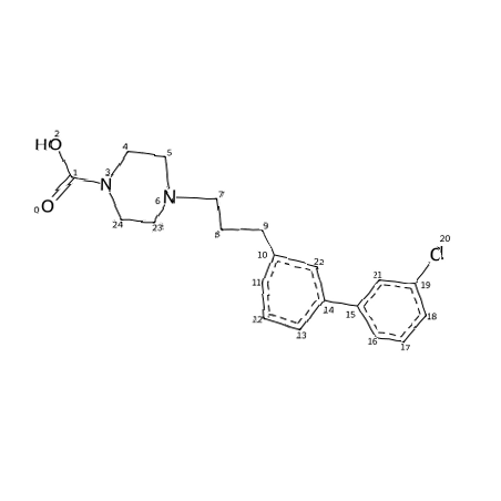 O=C(O)N1CCN(CCCc2cccc(-c3cccc(Cl)c3)c2)CC1